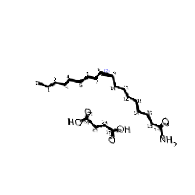 CCCCCCCC/C=C\CCCCCCCC(N)=O.O=C(O)CCC(=O)O